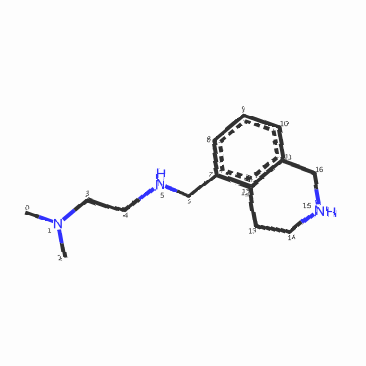 CN(C)CCNCc1cccc2c1CCNC2